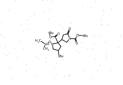 C[SiH](C)ON1CC(C(C)(C)C)CC1(C(=O)OC(C)(C)C)C1CC(=O)N(C(=O)OC(C)(C)C)C1